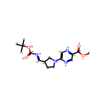 COC(=O)c1cnc(N2CCC(C=NC(=O)OC(C)(C)C)C2)cn1